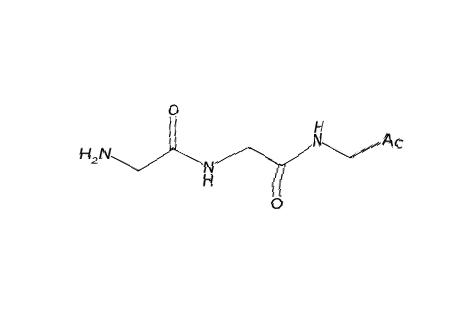 CC(=O)CNC(=O)CNC(=O)CN